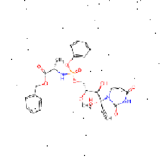 C#C[C@@](O)([C@H](O)[C@@H](COP(=O)(N[C@@H](C)C(=O)OCc1ccccc1)Oc1ccccc1)OC)n1ccc(=O)[nH]c1=O